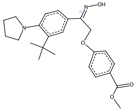 COC(=O)c1ccc(OC/C(=N\O)c2ccc(N3CCCC3)c(C(C)(C)C)c2)cc1